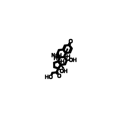 C[C@]12C=CC(=O)C=C1CC[C@@H]1[C@@H]2[C@@H](O)C[C@@]2(C)[C@H]1CC[C@]2(O)C(=O)CO.[NaH]